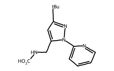 CC(C)(C)c1cc(CNC(=O)O)n(-c2ccccn2)n1